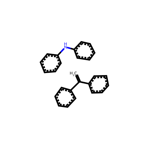 C=C(c1ccccc1)c1ccccc1.c1ccc(Nc2ccccc2)cc1